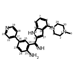 CN1CCN(c2cccc3[nH]c(C(=N)c4cc(-c5ccncc5)ccc4N)cc23)CC1